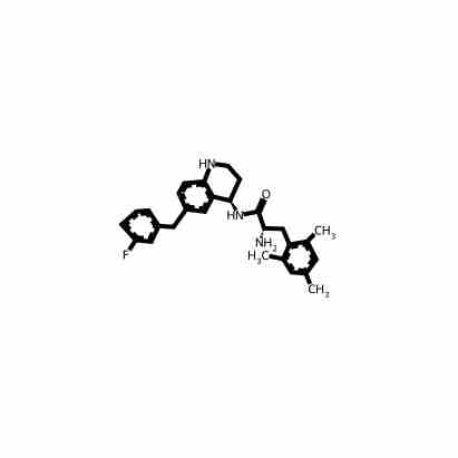 Cc1cc(C)c(C[C@H](N)C(=O)N[C@@H]2CCNc3ccc(Cc4cccc(F)c4)cc32)c(C)c1